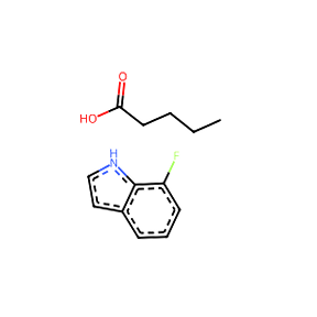 CCCCC(=O)O.Fc1cccc2cc[nH]c12